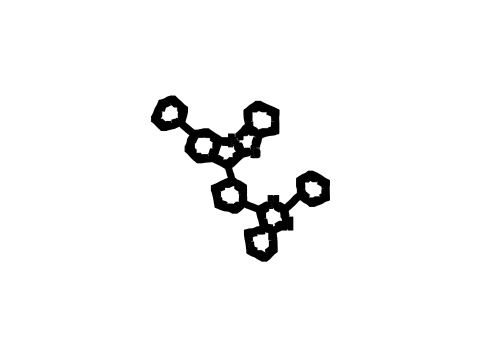 c1ccc(-c2ccc3c(-c4cccc(-c5nc(-c6ccccc6)nc6ccccc56)c4)c4sc5ccccc5n4c3c2)cc1